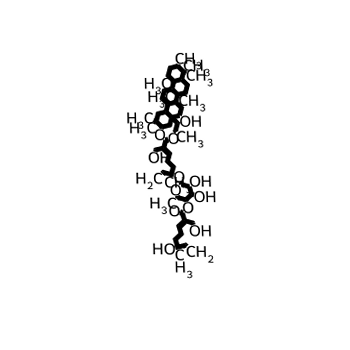 C=CC(C)(O)CC/C=C(\CO)C(=O)OC1C(C)OC(O[C@](C)(C=C)CC/C=C(\CO)C(=O)OC2CC3(CCC)C(O)CC4(C)C(=CCC5C6(C)CCC(C)C(C)(C)C6CCC54C)C3CC2(C)C)C(O)C1O